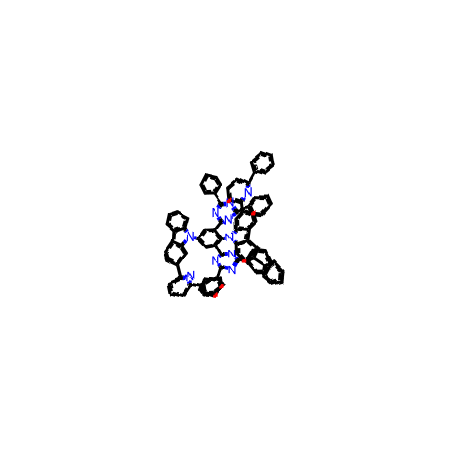 c1ccc(-c2ccc3c(c2)c2ccc(-c4cccc(-c5ccccc5)n4)cc2n3-c2c(-c3nc(-c4ccccc4)nc(-c4ccccc4)n3)cc(-n3c4ccccc4c4ccc(-c5cccc(-c6ccccc6)n5)cc43)cc2-c2nc(-c3ccccc3)nc(-c3ccccc3)n2)cc1